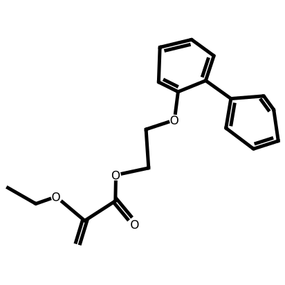 C=C(OCC)C(=O)OCCOc1ccccc1-c1ccccc1